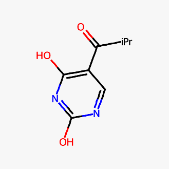 CC(C)C(=O)c1cnc(O)nc1O